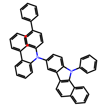 c1ccc(-c2ccc(N(c3ccc4c(c3)c3ccc5ccccc5c3n4-c3ccccc3)c3ccccc3-c3ccccc3)cc2)cc1